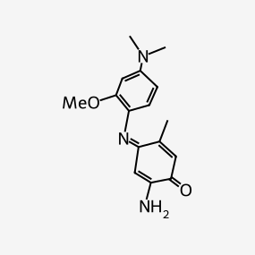 COc1cc(N(C)C)ccc1N=C1C=C(N)C(=O)C=C1C